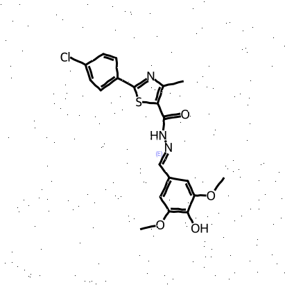 COc1cc(/C=N/NC(=O)c2sc(-c3ccc(Cl)cc3)nc2C)cc(OC)c1O